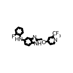 Fc1ccccc1Nc1ccc2[nH]c(COc3ccnc(C(F)(F)F)c3)nc2c1